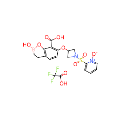 O=C(O)C(F)(F)F.O=C(O)c1c(OC2CN(S(=O)(=O)c3cccc[n+]3[O-])C2)ccc2c1OB(O)CC2